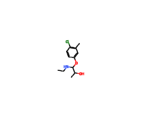 CCNC(Oc1ccc(Cl)c(C)c1)C(C)O